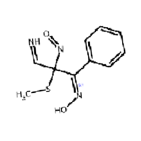 CSC(C=N)(N=O)/C(=N\O)c1ccccc1